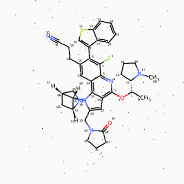 CC(Oc1nc2c(F)c(-c3csc4ccccc34)c(CCC#N)cc2c2c1cc(CN1CCCC1=O)n2[C@H]1[C@H]2CN[C@@H]1C2)[C@@H]1CCCN1C